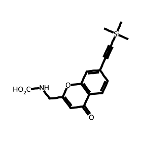 C[Si](C)(C)C#Cc1ccc2c(=O)cc(CNC(=O)O)oc2c1